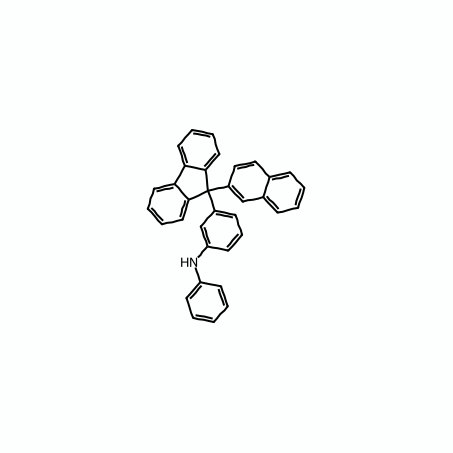 c1ccc(Nc2cccc(C3(c4ccc5ccccc5c4)c4ccccc4-c4ccccc43)c2)cc1